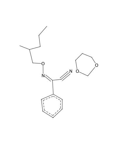 C1COCOC1.CCCC(C)CON=C(C#N)c1ccccc1